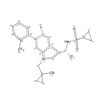 N#CC1(Cn2cc([C@H](NS(=O)(=O)C3CC3)C(F)(F)F)c3cc(F)c(-c4ccccc4C(F)(F)F)cc32)CC1